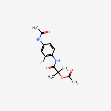 CC(=O)Nc1ccc(NC(=O)C(C)(C)OC(C)=O)c(Cl)c1